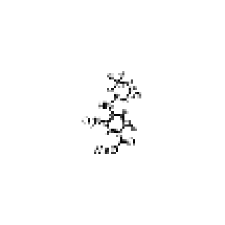 COC(=O)c1cc([N+](=O)[O-])c(N[C@@H]2C[C@H](C)CC(C)(C)C2)cc1C